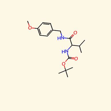 COc1ccc(CNC(=O)C(NC(=O)OC(C)(C)C)C(C)C)cc1